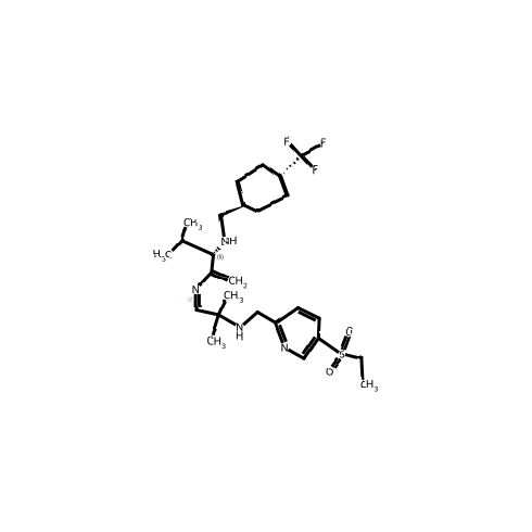 C=C(/N=C\C(C)(C)NCc1ccc(S(=O)(=O)CC)cn1)[C@@H](NC[C@H]1CC[C@H](C(F)(F)F)CC1)C(C)C